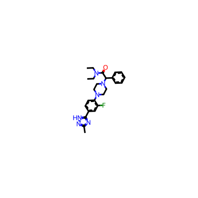 CCN(CC)C(=O)C(c1ccccc1)N1CCN(c2ccc(-c3nc(C)n[nH]3)cc2F)CC1